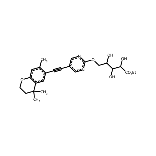 CCOC(=O)C(O)C(O)C(O)COc1ncc(C#Cc2cc3c(cc2C)OCCC3(C)C)cn1